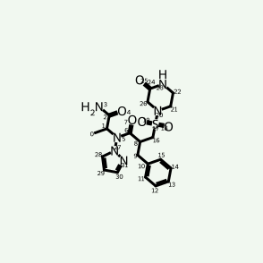 CC(C(N)=O)N(C(=O)C(Cc1ccccc1)CS(=O)(=O)N1CCNC(=O)C1)n1cccn1